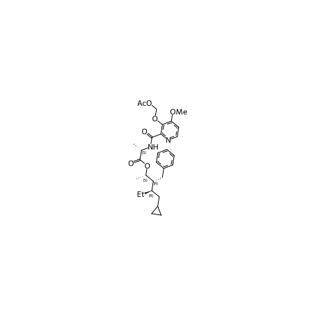 CC[C@H](CC1CC1)[C@@H](Cc1ccccc1)[C@H](C)OC(=O)[C@H](C)NC(=O)c1nccc(OC)c1OCOC(C)=O